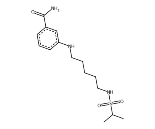 CC(C)S(=O)(=O)NCCCCCNc1cccc(C(N)=O)c1